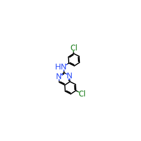 Clc1cccc(Nc2ncc3ccc(Cl)cc3n2)c1